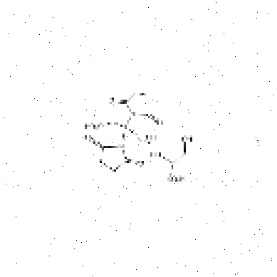 O=C(O)CC(C(=O)O)(N1C(=O)CCC1=O)N1C(=O)CCC1=O.O=S(=O)(O)C(O)CO